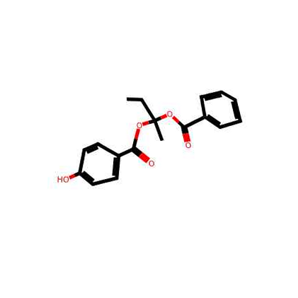 CCC(C)(OC(=O)c1ccccc1)OC(=O)c1ccc(O)cc1